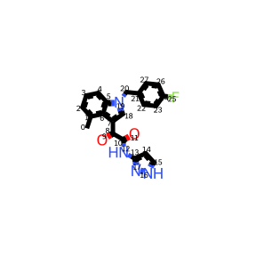 Cc1cccc2c1c(C(=O)C(=O)Nc1cc[nH]n1)cn2Cc1ccc(F)cc1